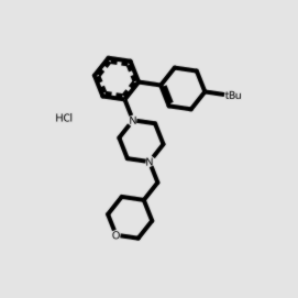 CC(C)(C)C1CC=C(c2ccccc2N2CCN(CC3CCOCC3)CC2)CC1.Cl